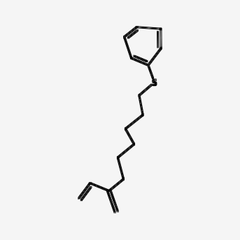 C=CC(=C)CCCCCCSc1ccccc1